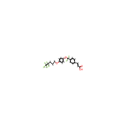 O=C(O)C=Cc1ccc(C(F)(F)Oc2ccc(OCCCC(F)(F)C(F)(F)F)cc2)cc1